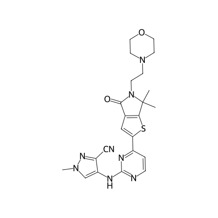 Cn1cc(Nc2nccc(-c3cc4c(s3)C(C)(C)N(CCN3CCOCC3)C4=O)n2)c(C#N)n1